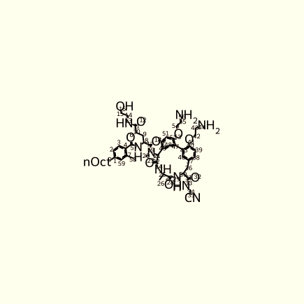 CCCCCCCCc1ccc(C(=O)NC(CCC(=O)NCCO)C(=O)N(C)C2C(=O)NC(C)C(=O)NC(C(=O)NCC#N)Cc3ccc(OCCN)c(c3)-c3cc2ccc3OCCN)c(C)c1